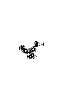 CC1(C)C[C@@H](n2c(Nc3ccc(OC(F)(F)F)cc3)nc3cc(CCC(=O)O)ccc32)c2ccccc21